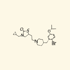 CC(C)Oc1ccc(Br)c(CC2CCN(CCC3CN(CC4CC4)C(=O)S3)CC2)c1